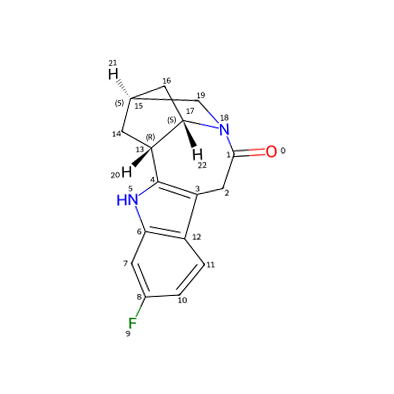 O=C1Cc2c([nH]c3cc(F)ccc23)[C@@H]2C[C@H]3C[C@@H]2N1C3